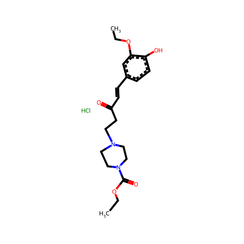 CCOC(=O)N1CCN(CCC(=O)C=Cc2ccc(O)c(OCC)c2)CC1.Cl